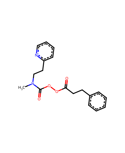 CN(CCc1ccccn1)C(=O)OOC(=O)CCc1ccccc1